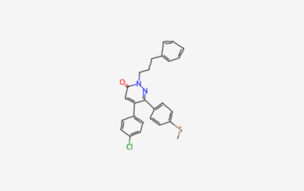 CSc1ccc(-c2nn(CCCc3ccccc3)c(=O)cc2-c2ccc(Cl)cc2)cc1